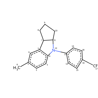 Cc1ccc2c(c1)C1CCCC1N2c1ccc(C(F)(F)F)cc1